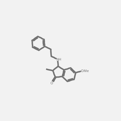 COc1ccc2c(c1)C(NCCc1ccccc1)C(C)C2=O